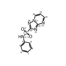 O=S(=O)(Nc1ccccc1)c1nc2ncccn2n1